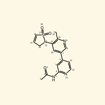 CC(=O)Nc1cc(-c2cnc(C)c(N3CC=CS3(=O)=O)c2)ccn1